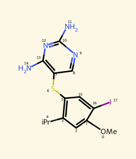 COc1cc(C(C)C)c(Sc2cnc(N)nc2N)cc1I